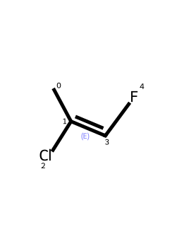 C/C(Cl)=C\F